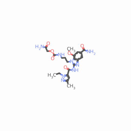 CCn1nc(C)cc1C(=O)Nc1nc2cc(C(N)=O)cc(OC)c2n1CCCNC(=O)OCC(N)=O